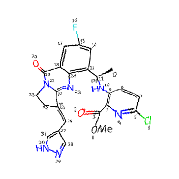 COC(=O)c1nc(Cl)ccc1N[C@H](C)c1cc(F)cc2c(=O)n3c(nc12)C(=Cc1cn[nH]c1)CC3